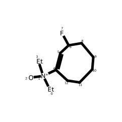 CC[N+]([O-])(CC)C1=CC(F)CCCCC1